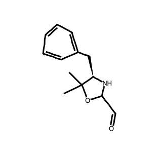 CC1(C)OC(C=O)N[C@@H]1Cc1ccccc1